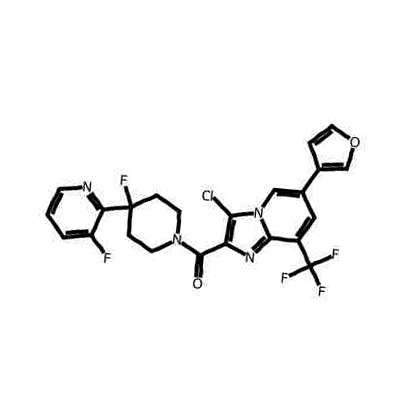 O=C(c1nc2c(C(F)(F)F)cc(-c3ccoc3)cn2c1Cl)N1CCC(F)(c2ncccc2F)CC1